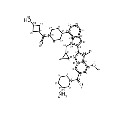 COc1cc(C(=O)N2CCC[C@@H](N)C2)cn2nc(-c3cc4cccc(C5CCN(C(=O)C6CC(O)C6)CC5)c4n3CC3CC3)c(C)c12